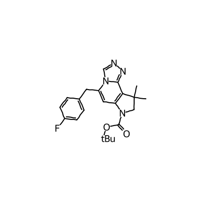 CC(C)(C)OC(=O)N1CC(C)(C)c2c1cc(Cc1ccc(F)cc1)n1cnnc21